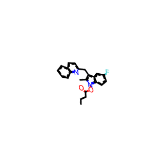 CCCC(=O)On1c(C)c(Cc2ccc3ccccc3n2)c2cc(F)ccc21